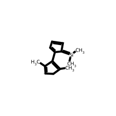 CC1=[C]CC(C)=C1C1=CC=CC1=[Si](C)C